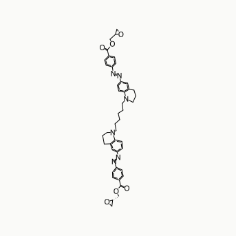 O=C(OCC1CO1)c1ccc(/N=N/c2ccc3c(c2)CCCN3CCCCCCN2CCCc3cc(/N=N/c4ccc(C(=O)OC[C@@H]5CO5)cc4)ccc32)cc1